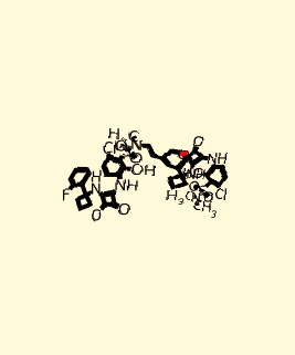 CN(C)S(=O)(=O)c1c(Cl)ccc(Nc2c(NC3(c4cccc(CCN(C)S(=O)(=O)c5c(Cl)ccc(Nc6c(NC7(c8ccccc8F)CCC7)c(=O)c6=O)c5O)c4)CCC3)c(=O)c2=O)c1O